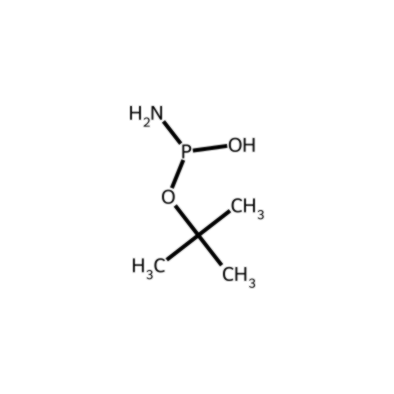 CC(C)(C)OP(N)O